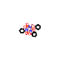 COP1(Oc2ccccc2)=NP(OC)(Oc2ccccc2)=NP(OC)(Oc2ccccc2)=N1